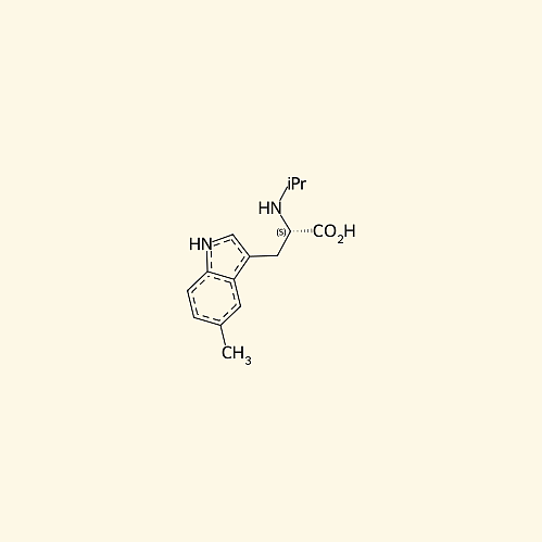 Cc1ccc2[nH]cc(C[C@H](NC(C)C)C(=O)O)c2c1